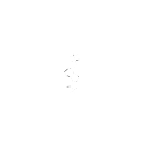 O=C(N1CCc2c(OS(=O)(=O)C(F)(F)F)cccc21)C(F)(F)F